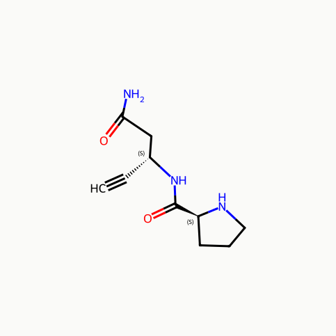 C#C[C@H](CC(N)=O)NC(=O)[C@@H]1CCCN1